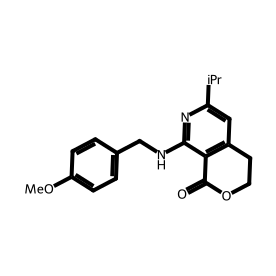 COc1ccc(CNc2nc(C(C)C)cc3c2C(=O)OCC3)cc1